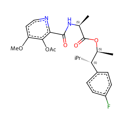 COc1ccnc(C(=O)N[C@@H](C)C(=O)O[C@@H](C)[C@H](c2ccc(F)cc2)C(C)C)c1OC(C)=O